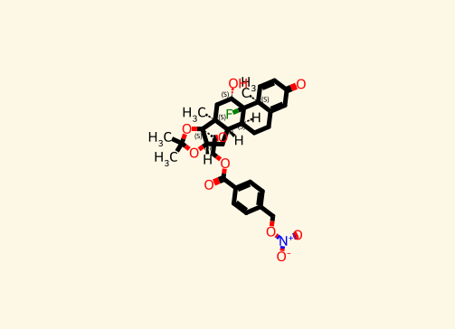 CC1(C)O[C@H]2C[C@H]3[C@@H]4CCC5=CC(=O)C=C[C@]5(C)C4(F)[C@@H](O)C[C@]3(C)[C@]2(C(=O)COC(=O)c2ccc(CO[N+](=O)[O-])cc2)O1